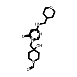 O=CN1CCC(O)(Cn2cnc(NCC3CCOCC3)cc2=O)CC1